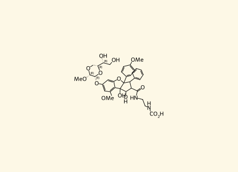 COc1ccc(C23Oc4cc(O[C@H]5O[C@@H]([C@H](O)CO)CO[C@H]5OC)cc(OC)c4C2(O)C(O)C(C(=O)NCCNC(=O)O)C3c2ccccc2)cc1